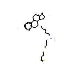 C=C1[C@H](O)CC2C3C(CC[C@]12C)c1ccc(O)cc1[C@@H](O)[C@H]3CCCCCN(C)CCCSCCCC(F)(F)C(F)(F)F